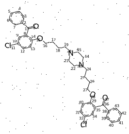 O=C(c1ccccc1)c1cc(Cl)ccc1OCCCCN1CCN(CCCCOc2ccc(Cl)cc2C(=O)c2ccccc2)CC1